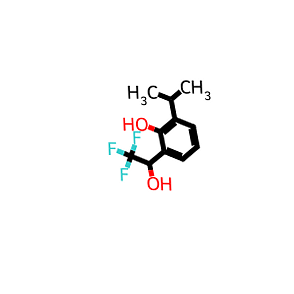 CC(C)c1cccc(C(O)C(F)(F)F)c1O